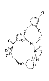 O=C1NS(=O)(=O)C/C=C\[C@@]2(O)CCO[C@@H](C2)[C@@H]2CC[C@H]2CN2CCCCc3cc(Cl)ccc3COc3ccc1cc32